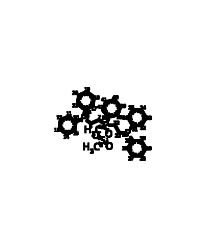 CS(=O)(=O)OP(C)(CCP(c1ccccc1)c1ccccc1)(CCP(c1ccccc1)c1ccccc1)c1ccccc1